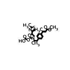 COC(=O)C=C(C)c1ccc(CC(C)N2CC(c3csc(C)n3)OC2OC(=O)O)cc1